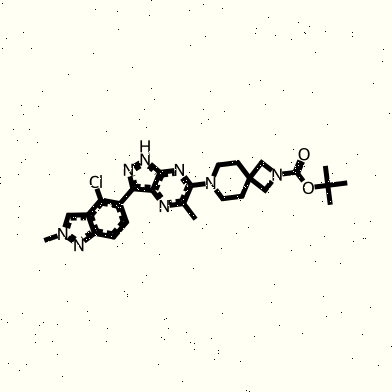 Cc1nc2c(-c3ccc4nn(C)cc4c3Cl)n[nH]c2nc1N1CCC2(CC1)CN(C(=O)OC(C)(C)C)C2